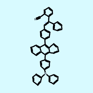 N#Cc1ccccc1/C(=C/c1ccc(-c2c3ccccc3c(-c3ccc(N(c4ccccc4)c4ccccc4)cc3)c3ccccc23)cc1)c1ccccc1